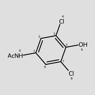 CC(=O)Nc1cc(Cl)c(O)c(Cl)c1